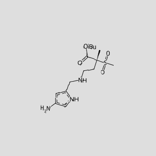 CC(C)COC(=O)[C@@](C)(CCNCc1cc(N)c[nH]1)S(C)(=O)=O